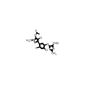 Cc1nc(C=O)c(Oc2cc(-c3nn(C)c(OC(F)F)c3Cl)c(F)cc2Cl)s1